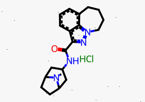 CN1C2CCC1CC(NC(=O)c1nn3c4c(cccc14)CCCC3)C2.Cl